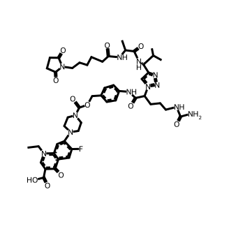 CCn1cc(C(=O)O)c(=O)c2cc(F)c(N3CCN(C(=O)OCc4ccc(NC(=O)C(CCCNC(N)=O)n5cc([C@@H](NC(=O)C(C)NC(=O)CCCCCN6C(=O)CCC6=O)C(C)C)nn5)cc4)CC3)cc21